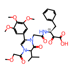 COCC(=O)N1C=C(c2cc(OC)c(OC)c(OC)c2)N(CC(=O)N[C@@H](Cc2ccccc2)C(=O)C(=O)O)C(=O)C1C(C)C